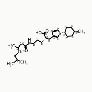 CC(C)COC(C)OC(=O)NCCC[C@@H](Cc1cn([C@H]2CC[C@H](C)CC2)cn1)C(=O)O